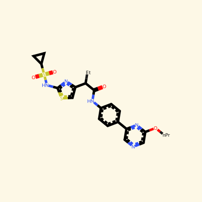 CCCOc1cncc(-c2ccc(NC(=O)C(CC)c3csc(NS(=O)(=O)C4CC4)n3)cc2)n1